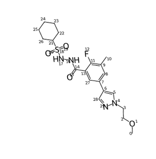 COCCn1cc(-c2cc(C)c(F)c(C(=O)NNS(=O)(=O)C3CCCCC3)c2)cn1